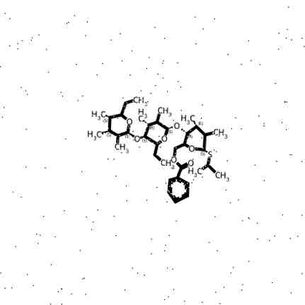 CCC1O[C@@H](O[C@@H]2C(CC)O[C@@H](O[C@H]3C(COC(=O)c4ccccc4)O[C@@H](SC(C)C)C(C)[C@H]3C)C(C)[C@H]2C)C(C)[C@@H](C)[C@@H]1C